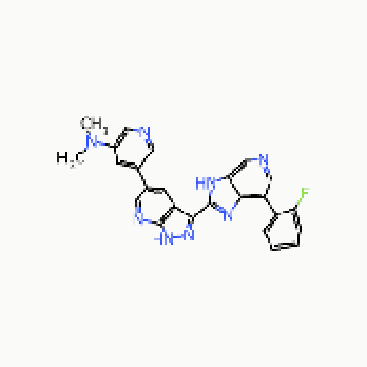 CN(C)c1cncc(-c2cnc3[nH]nc(-c4nc5c(-c6ccccc6F)cncc5[nH]4)c3c2)c1